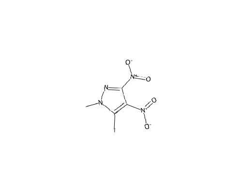 Cc1c([N+](=O)[O-])c([N+](=O)[O-])nn1C